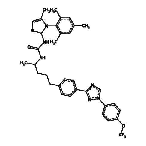 CC1=CSC(NC(=O)NC(C)CCCc2ccc(-c3ncn(-c4ccc(OC(F)(F)F)cc4)n3)cc2)N1c1c(C)cc(C)cc1C